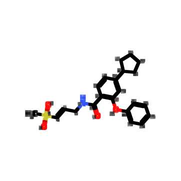 CS(=O)(=O)/C=C/CNC(=O)c1ccc(C2CCCC2)cc1Oc1ccccc1